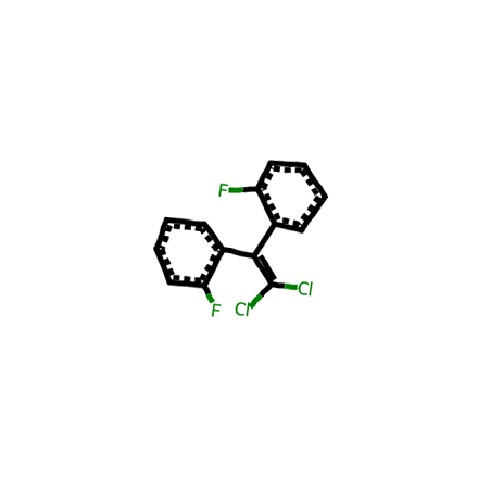 Fc1ccccc1C(=C(Cl)Cl)c1ccccc1F